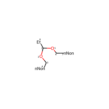 [CH2]CC(OCCCCCCCCCC)OCCCCCCCCCC